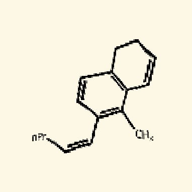 CCC/C=C\c1ccc2c(c1C)C=CCC2